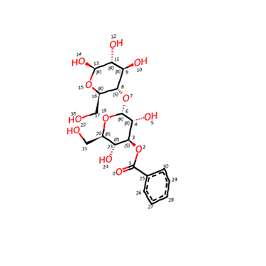 O=C(O[C@@H]1[C@@H](O)[C@@H](O[C@H]2[C@H](O)[C@@H](O)[C@H](O)O[C@@H]2CO)O[C@H](CO)[C@H]1O)c1ccccc1